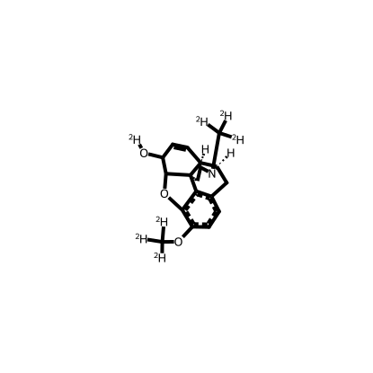 [2H]OC1C=C[C@H]2[C@H]3Cc4ccc(OC([2H])([2H])[2H])c5c4[C@@]2(CCN3C([2H])([2H])[2H])C1O5